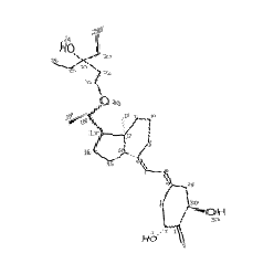 C=C1[C@H](O)CC(=C/C=C2\CCC[C@@]3(C)C2CCC3[C@@H](C)OCCC(O)(CC)CC)C[C@H]1O